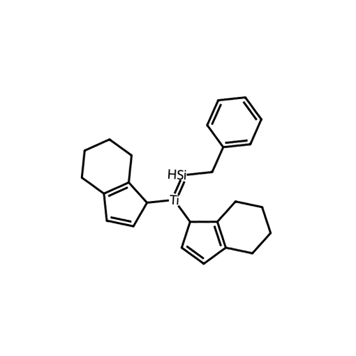 C1=C[CH]([Ti](=[SiH]Cc2ccccc2)[CH]2C=CC3=C2CCCC3)C2=C1CCCC2